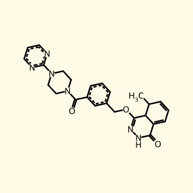 CC1C=CC=C2C(=O)NN=C(OCc3cccc(C(=O)N4CCN(c5ncccn5)CC4)c3)C21